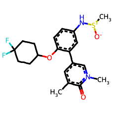 Cc1cc(-c2cc(N[S+](C)[O-])ccc2OC2CCC(F)(F)CC2)cn(C)c1=O